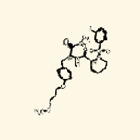 CNC(=O)[C@H](Cc1ccc(OCCCOC)cc1)NC(=O)[C@@H]1CCCCN1S(=O)(=O)c1cccc(F)c1